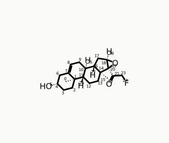 C[C@]12CC[C@H](O)CC1=CC[C@@H]1[C@@H]2CC[C@@]2(C)[C@H]1C[C@H]1O[C@]12C(=O)CF